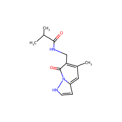 Cc1cc2cc[nH]n2c(=O)c1CNC(=O)C(C)C